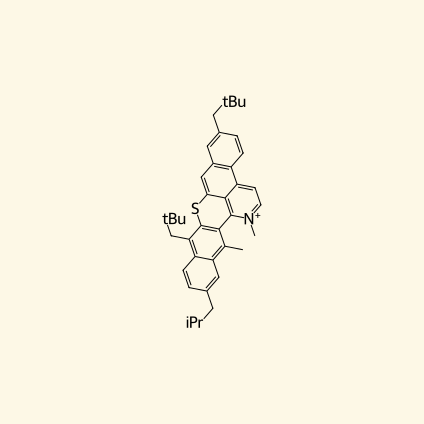 Cc1c2c(c(CC(C)(C)C)c3ccc(CC(C)C)cc13)Sc1cc3cc(CC(C)(C)C)ccc3c3cc[n+](C)c-2c13